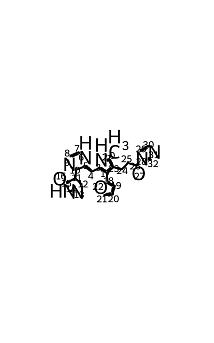 Cc1[nH]c(C=C2NC=CN=C2C2C=NNC2=O)c(-c2ccco2)c1CCC(=O)n1ccnc1